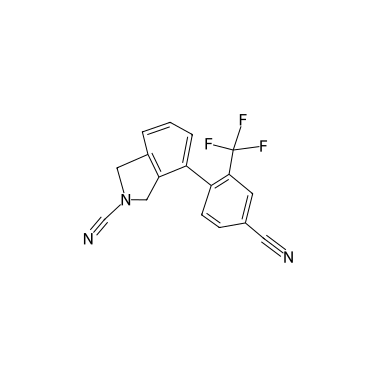 N#Cc1ccc(-c2cccc3c2CN(C#N)C3)c(C(F)(F)F)c1